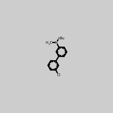 CCCCN(C)c1cccc(-c2cccc(Cl)c2)c1